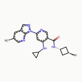 CC(C)[C@H]1C[C@H](NC(=O)c2cnc(-n3ncc4cc(C#N)cnc43)cc2NC2CC2)C1